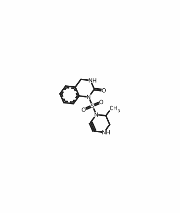 CC1CNC#CN1S(=O)(=O)N1C(=O)NCc2ccccc21